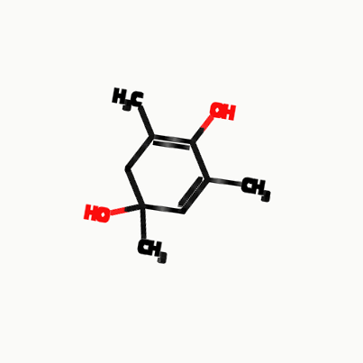 CC1=CC(C)(O)CC(C)=C1O